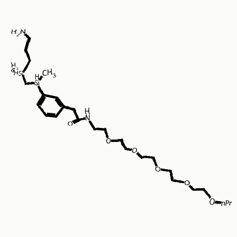 CCCOCCOCCOCCOCCOCCNC(=O)Cc1cccc([SiH](C)C[SiH](C)CCCN)c1